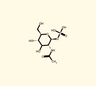 CC(=O)N[C@@H]1C(O)[C@H](O)[C@@H](CO)O[C@H]1OP(=O)(O)O